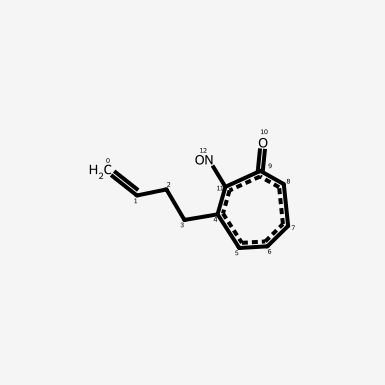 C=CCCc1ccccc(=O)c1N=O